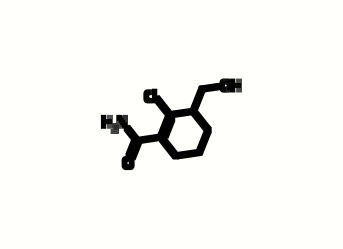 NC(=O)C1=C(Cl)C(CO)CCC1